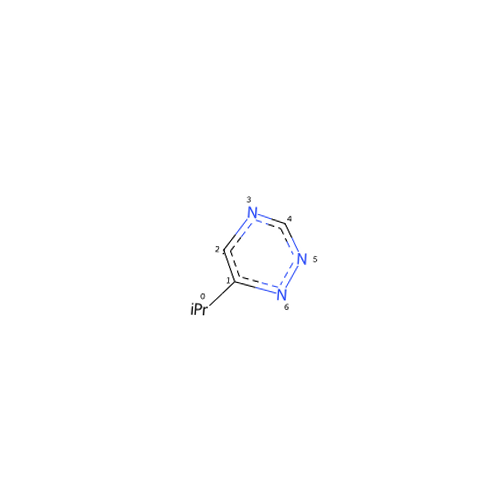 CC(C)c1[c]ncnn1